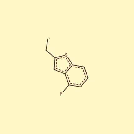 [CH2]Cc1cc2c(F)cccc2s1